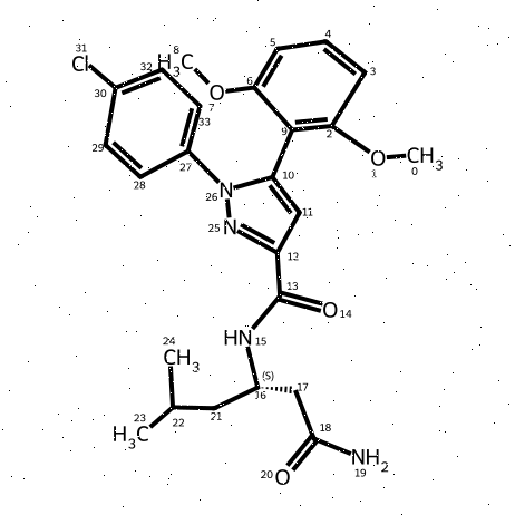 COc1cccc(OC)c1-c1cc(C(=O)N[C@H](CC(N)=O)CC(C)C)nn1-c1ccc(Cl)cc1